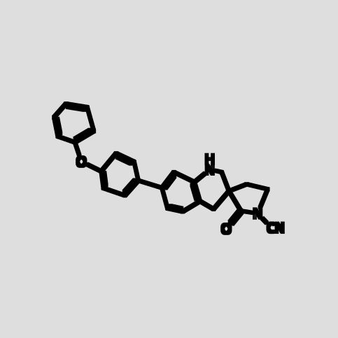 N#CN1CCC2(CNc3cc(-c4ccc(Oc5ccccc5)cc4)ccc3C2)C1=O